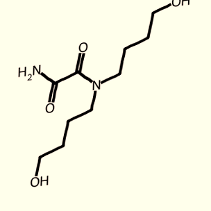 NC(=O)C(=O)N(CCCCO)CCCCO